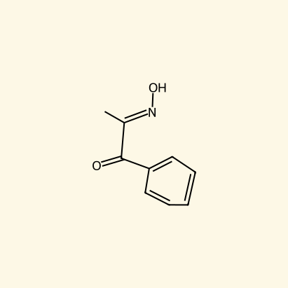 CC(=NO)C(=O)c1ccccc1